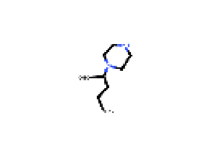 CCCCCCCCC([C]=O)N1CCNCC1